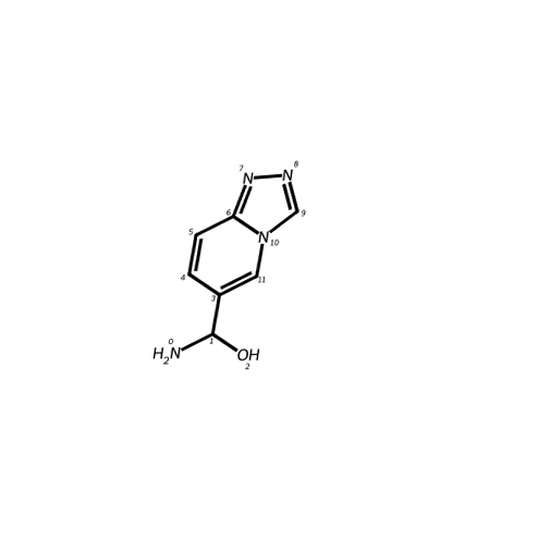 NC(O)c1ccc2nncn2c1